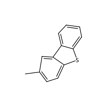 Cc1ccc2sc3ccccc3c2c1